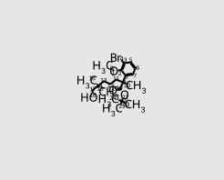 COc1c(Br)cccc1C(C)(CCCC(C)(C)CO)C(=O)OC(C)(C)C